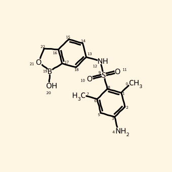 Cc1cc(N)cc(C)c1S(=O)(=O)Nc1ccc2c(c1)B(O)OC2